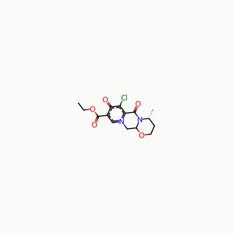 CCOC(=O)c1cn2c(c(Cl)c1=O)C(=O)N1C(C2)OCC[C@H]1C